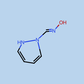 ON=CN1C=CC=CN1